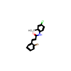 O=C(/C=C/c1ccccc1Br)Nc1ccc(Cl)cc1C(=O)O